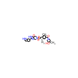 Cc1cc(C(=O)N2CCC(C)(O)CC2)cc(C)c1C=CS(=O)(=O)N1CCC2(CC1)N=C(c1ccc3cc[nH]c3c1)NC2=O